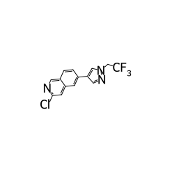 FC(F)(F)Cn1cc(-c2ccc3cnc(Cl)cc3c2)cn1